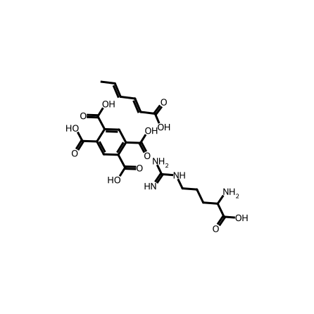 C/C=C/C=C/C(=O)O.N=C(N)NCCCC(N)C(=O)O.O=C(O)c1cc(C(=O)O)c(C(=O)O)cc1C(=O)O